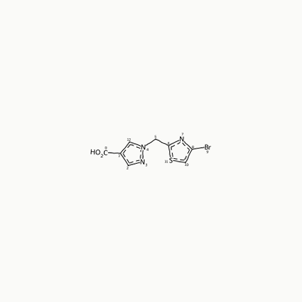 O=C(O)c1cnn(Cc2nc(Br)cs2)c1